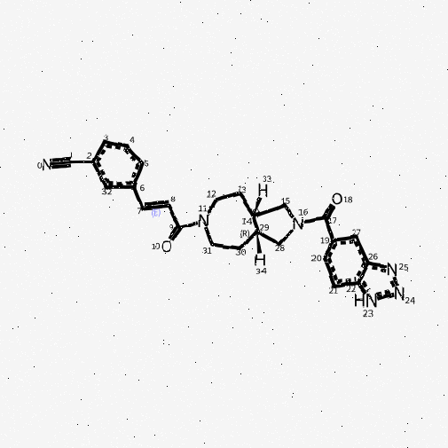 N#Cc1cccc(/C=C/C(=O)N2CC[C@@H]3CN(C(=O)c4ccc5[nH]nnc5c4)C[C@@H]3CC2)c1